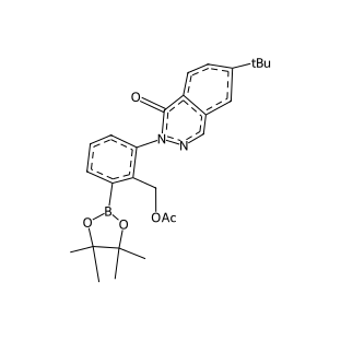 CC(=O)OCc1c(B2OC(C)(C)C(C)(C)O2)cccc1-n1ncc2cc(C(C)(C)C)ccc2c1=O